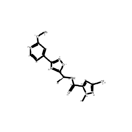 CC(C)Oc1cc(-c2noc([C@H](C)NC(=O)c3cc(C(F)(F)F)nn3C)n2)ccn1